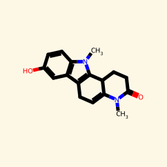 CN1C(=O)CCC2C1=CCc1c2n(C)c2ccc(O)cc12